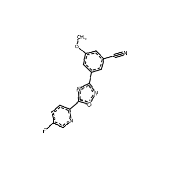 COc1cc(C#N)cc(-c2noc(-c3ccc(F)cn3)n2)c1